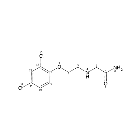 NC(=O)CNCCOc1ccc(Cl)cc1Cl